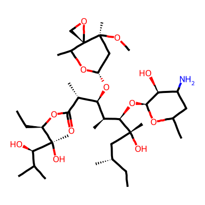 CC[C@H](C)C[C@@](C)(O)[C@H](O[C@@H]1OC(C)CC(N)[C@@H]1O)[C@@H](C)[C@H](O[C@H]1C[C@](C)(OC)[C@]2(CO2)C(C)O1)[C@@H](C)C(=O)O[C@H](CC)[C@@](C)(O)[C@H](O)C(C)C